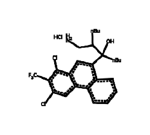 CCCCC(CN)C(O)(CCCC)c1cc2c(Cl)c(C(F)(F)F)c(Cl)cc2c2ccccc12.Cl